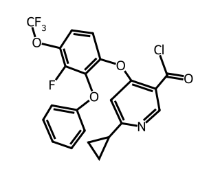 O=C(Cl)c1cnc(C2CC2)cc1Oc1ccc(OC(F)(F)F)c(F)c1Oc1ccccc1